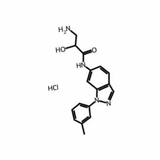 Cc1cccc(-n2ncc3ccc(NC(=O)C(O)CN)cc32)c1.Cl